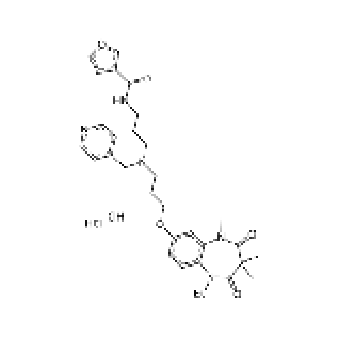 CCN1C(=O)C(C)(C)C(=O)N(C)c2cc(OCCCN(CCCNC(=O)c3ccoc3)Cc3ccncc3)ccc21.Cl.Cl